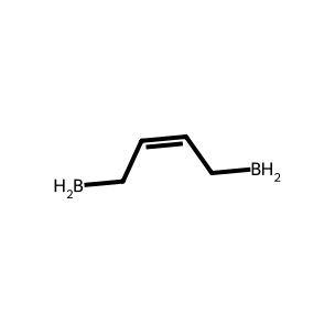 BC/C=C\CB